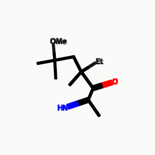 CCC(C)(CC(C)(C)OC)C(=O)C(C)=N